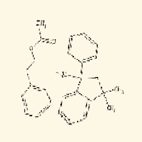 CC(=O)OCCc1ccccc1.CC1(C)CC(C)(c2ccccc2)c2ccccc21